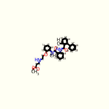 COC(=O)CCNCCOc1ccccc1N(C)C(=O)c1ccccc1NC(=O)c1c(C)cccc1-c1ccccc1